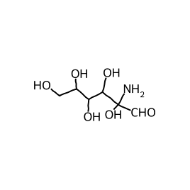 NC(O)(C=O)C(O)C(O)C(O)CO